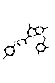 CSc1ccc(Cn2c(C)nc3c(C)cc(C(=O)NS(=O)(=O)c4ccc(C)cc4)nc32)c(Cl)c1